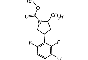 CC(C)(C)OC(=O)N1C[C@H](c2c(F)ccc(Cl)c2F)CC1C(=O)O